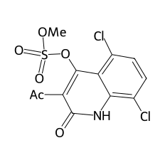 COS(=O)(=O)Oc1c(C(C)=O)c(=O)[nH]c2c(Cl)ccc(Cl)c12